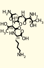 C[C@@H](O)[C@H](N)C(=O)N[C@@H](CC(N)=O)C(=O)N[C@H](C(=O)N[C@@H](CCCCN)C(=O)O)[C@@H](C)O